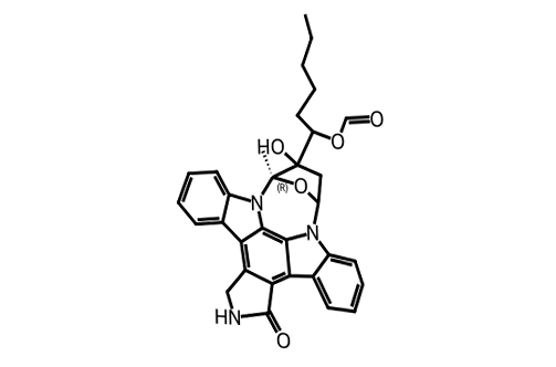 CCCCCC(OC=O)C1(O)CC2O[C@@]1(C)n1c3ccccc3c3c4c(c5c6ccccc6n2c5c31)C(=O)NC4